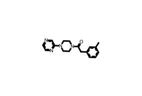 Cc1cccc(CC(=O)N2CCN(c3cnccn3)CC2)c1